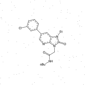 CCCCNC(=O)Cn1c(=O)n(CC)c2cc(-c3cccc(Cl)c3)cnc21